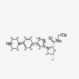 C[C@H]1C[C@@H](C(=O)NCC#N)N(c2cc(-c3ccc(N4CCNCC4)cc3)sn2)C1